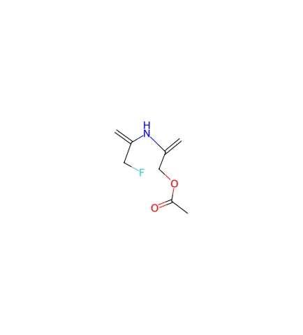 C=C(CF)NC(=C)COC(C)=O